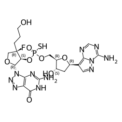 Nc1nc2c(nnn2[C@@H]2OC[C@](F)(CCCO)[C@H]2OP(=O)(S)OC[C@H]2O[C@@H](c3cnn4c(N)ncnc34)C[C@@H]2O)c(=O)[nH]1